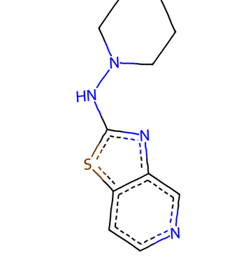 c1cc2sc(NN3CCCCC3)nc2cn1